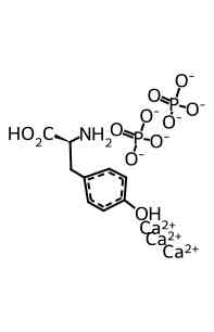 N[C@@H](Cc1ccc(O)cc1)C(=O)O.O=P([O-])([O-])[O-].O=P([O-])([O-])[O-].[Ca+2].[Ca+2].[Ca+2]